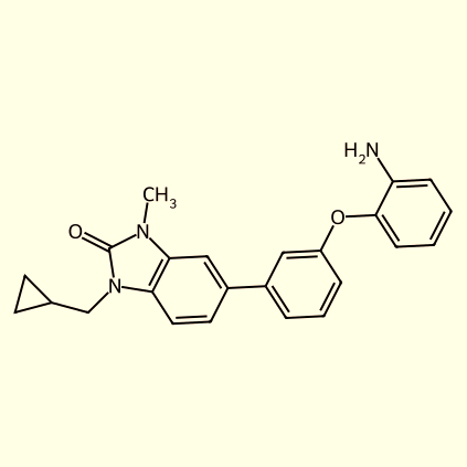 Cn1c(=O)n(CC2CC2)c2ccc(-c3cccc(Oc4ccccc4N)c3)cc21